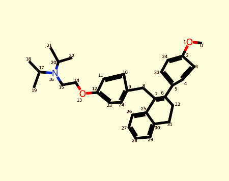 COc1ccc(C2=C(Cc3ccc(OCCN(C(C)C)C(C)C)cc3)c3ccccc3CC2)cc1